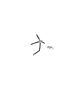 C[N+](C)(C)CI.[PbH2]